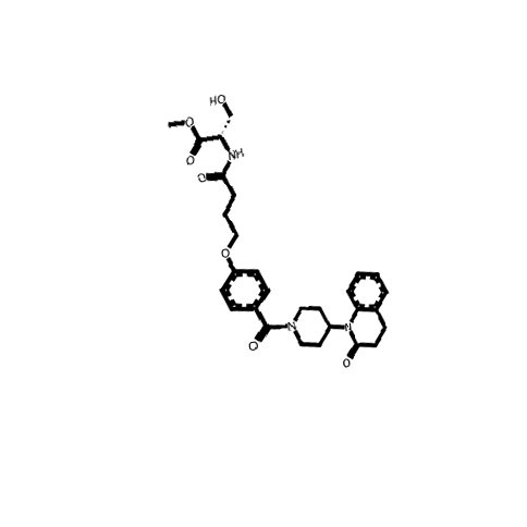 COC(=O)[C@H](CO)NC(=O)CCCOc1ccc(C(=O)N2CCC(N3C(=O)CCc4ccccc43)CC2)cc1